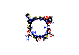 CNC(=O)C[C@@H]1NC(=O)c2csc(n2)-c2ccc(-c3nccs3)nc2-c2csc(n2)-c2csc(n2)[C@H]([C@@H](O)c2ccccc2)N(N)C(=O)CNC(=O)c2nc(sc2COC)[C@H](C(C)C)NC(=O)c2nc1sc2C